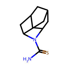 NC(=S)N1C2CC3CC(C2)CC1C3